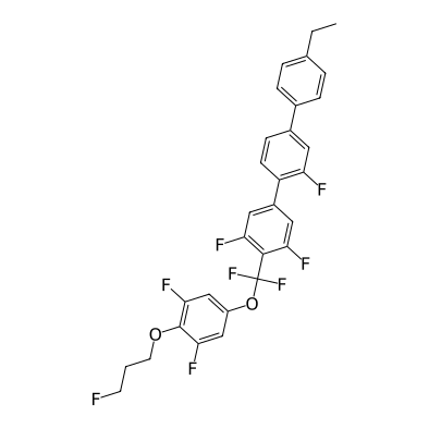 CCc1ccc(-c2ccc(-c3cc(F)c(C(F)(F)Oc4cc(F)c(OCCCF)c(F)c4)c(F)c3)c(F)c2)cc1